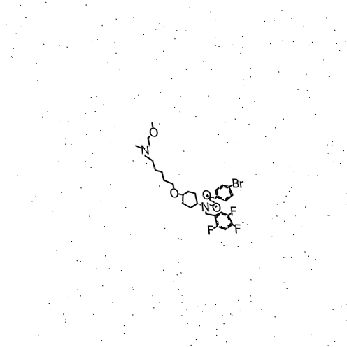 COCCN(C)CCCCCCO[C@H]1CC[C@H](N(Cc2cc(F)c(F)cc2F)S(=O)(=O)c2ccc(Br)cc2)CC1